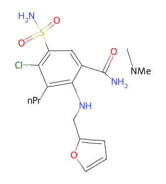 CCCc1c(Cl)c(S(N)(=O)=O)cc(C(N)=O)c1NCc1ccco1.CNC